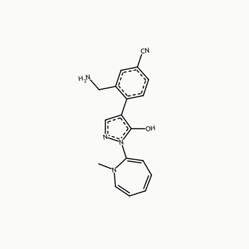 CN1C=CC=CC=C1n1ncc(-c2ccc(C#N)cc2CN)c1O